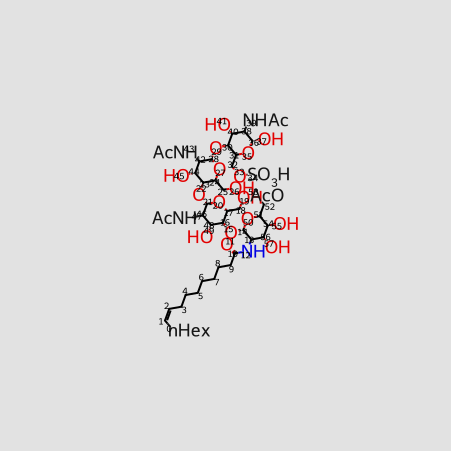 CCCCCC/C=C\CCCCCCCC(=O)NC1[C@H](O[C@@H]2C(CO)O[C@@H](O[C@@H]3C(CO)O[C@@H](O[C@@H]4C(COS(=O)(=O)O)O[C@@H](O)C(NC(C)=O)[C@H]4O)C(NC(C)=O)[C@H]3O)C(NC(C)=O)[C@H]2O)OC(COC(C)=O)[C@@H](O)[C@@H]1O